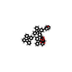 c1ccc(C2(c3ccc(N(c4ccc(C5(c6ccccc6)c6ccccc6-c6ccccc65)cc4)c4ccc5c(c4)C(c4ccc(C67CC8CC(CC(C8)C6)C7)cc4)(c4ccc(C67CC8CC(CC(C8)C6)C7)cc4)c4ccccc4-5)cc3)c3ccccc3-c3ccccc32)cc1